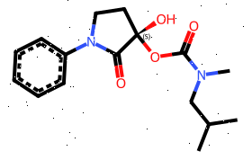 CC(C)CN(C)C(=O)O[C@@]1(O)CCN(c2ccccc2)C1=O